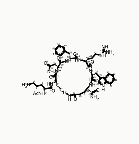 CC(=O)N[C@@H](CCCN)C(=O)N[C@H]1CCCNC(=O)CC[C@@H](C(N)=O)NC(=O)[C@H](Cc2c[nH]c3ccccc23)NC(=O)[C@H](CCCNC(=N)N)NC(=O)[C@@H](Cc2ccccc2)NC(=O)[C@H](CC(N)=O)NC1=O